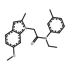 CCN(C(=O)Cn1c(C)cc2ccc(OC)cc21)c1cccc(C)c1